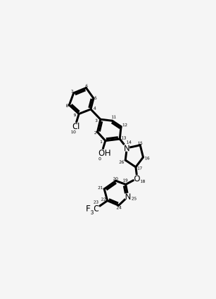 Oc1cc(-c2ccccc2Cl)ccc1N1CCC(Oc2ccc(C(F)(F)F)cn2)C1